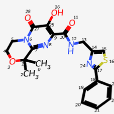 CC1(C)OCCn2c1nc(C(=O)NCc1csc(-c3ccccc3)n1)c(O)c2=O